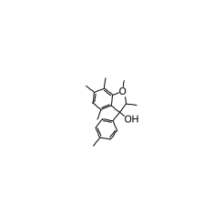 COc1c(C)c(C)cc(C)c1C(O)(c1ccc(C)cc1)C(C)C